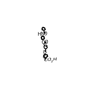 O=C(O)c1ccc(OCC2CCN(C(=O)Oc3ccc(NC(=O)c4ccccc4)cc3)CC2)cc1